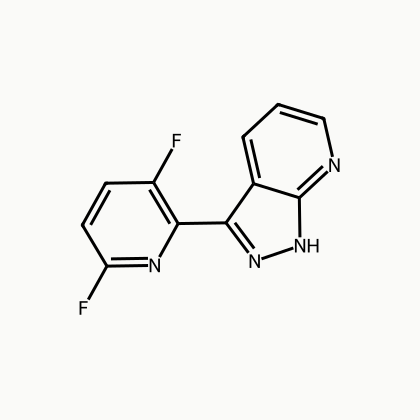 Fc1ccc(F)c(-c2n[nH]c3ncccc23)n1